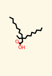 CCCCCCCCC(CC)(CCCCCCCC)CC(=O)O